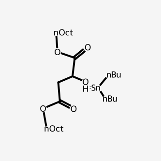 CCCCCCCCOC(=O)CC(O)C(=O)OCCCCCCCC.CCC[CH2][Sn][CH2]CCC